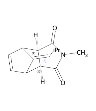 CC(C)/C=C1\C2C=CC1[C@@H]1C(=O)N(C)C(=O)[C@H]21